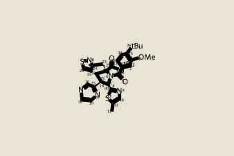 COc1cc(C(=O)N2[C@@H](c3ncc(C)s3)[C@@H](c3cnccn3)C[C@@]2(Cc2ccsn2)C(=O)OC(C)(C)C)ccc1C(C)(C)C